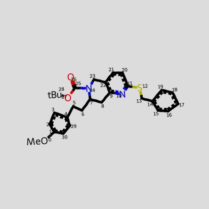 COc1ccc(CCC2Cc3nc(SCc4ccccc4)ccc3CN2C(=O)OC(C)(C)C)cc1